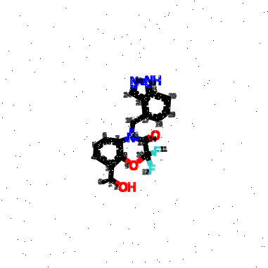 C[C@H](O)c1cccc2c1OC(F)(F)C(=O)N2Cc1cccc2[nH]ncc12